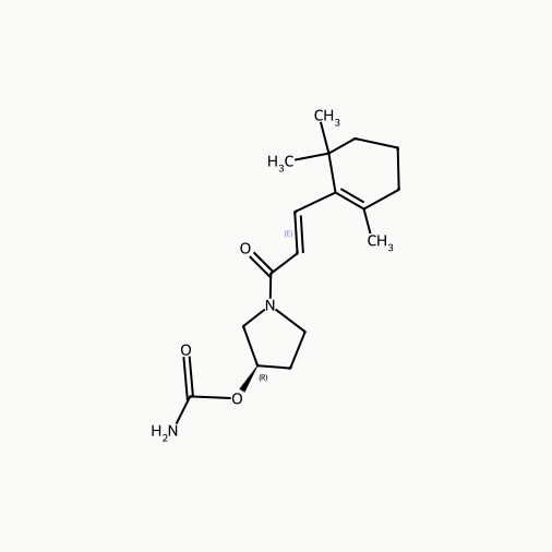 CC1=C(/C=C/C(=O)N2CC[C@@H](OC(N)=O)C2)C(C)(C)CCC1